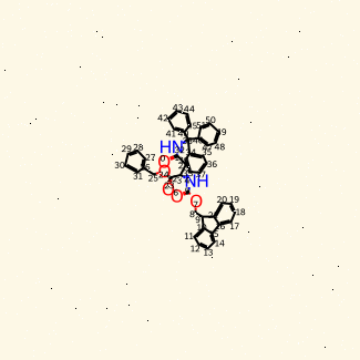 O=C(CC(NC(=O)OCC1c2ccccc2-c2ccccc21)C(=O)OCc1ccccc1)NC(c1ccccc1)(c1ccccc1)c1ccccc1